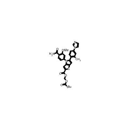 COc1cc(-n2c(-c3ccc(-n4ccnc4)cc3C)cc3sc(C(=O)OCOC(=O)C(C)(C)C)cc32)ccc1C(N)=O